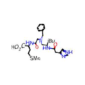 CCC(C)C(CN(CC(=O)NC(CCSC)C(=O)O)Cc1ccccc1)NC(=O)Cc1c[nH]cn1